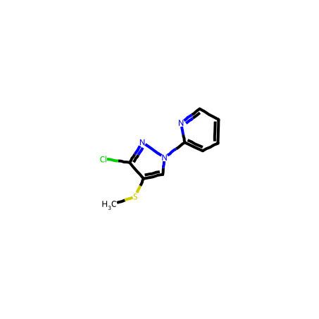 CSc1cn(-c2ccccn2)nc1Cl